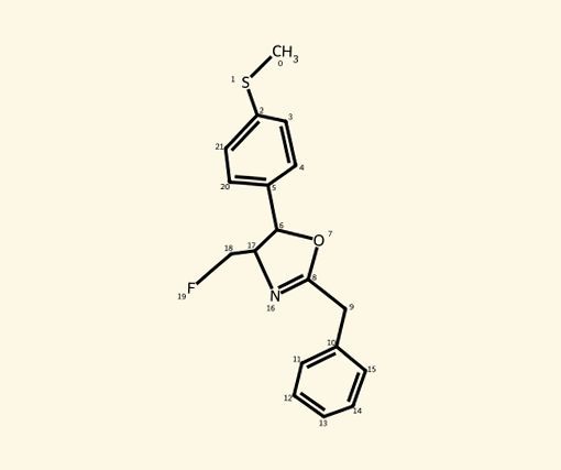 CSc1ccc(C2OC(Cc3ccccc3)=NC2CF)cc1